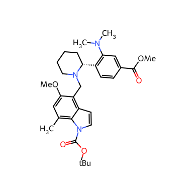 COC(=O)c1ccc([C@H]2CCCCN2Cc2c(OC)cc(C)c3c2ccn3C(=O)OC(C)(C)C)c(N(C)C)c1